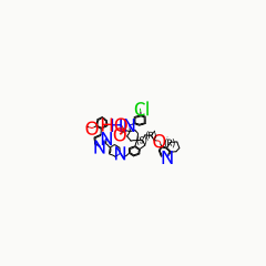 COc1ccccc1-c1ccnc(C2=CCN(Cc3ccc4c(c3)C3(CCC(Nc5cccc(Cl)c5)(C(=O)O)CC3)[C@@H](C[C@@H](C)COc3ccnc5c3[C@H](C)CCC5)C4)CC2)n1